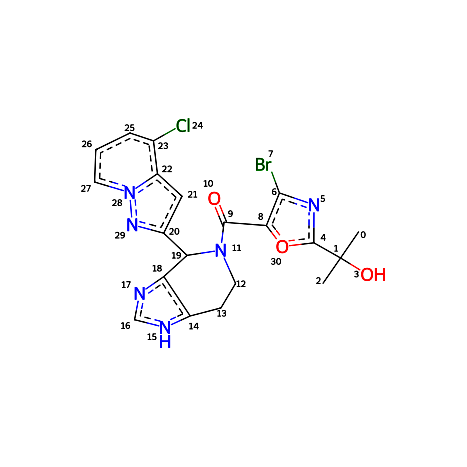 CC(C)(O)c1nc(Br)c(C(=O)N2CCc3[nH]cnc3C2c2cc3c(Cl)cccn3n2)o1